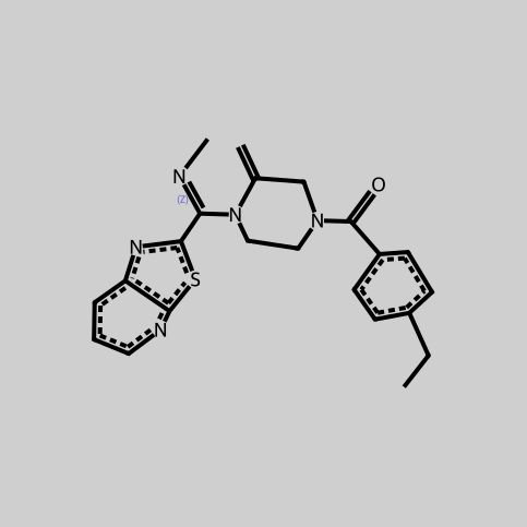 C=C1CN(C(=O)c2ccc(CC)cc2)CCN1/C(=N\C)c1nc2cccnc2s1